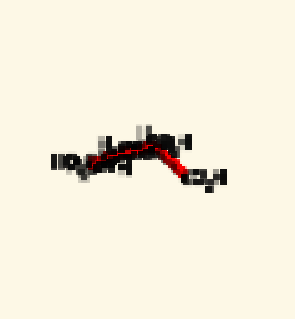 BNC(CCCCNC(=O)COCCOCCNC(=O)COCCOCCNC(=O)CCC(NC(=O)CCCCCCCCCCCCCCCCCCC(=O)O)C(=O)O)C(=O)O